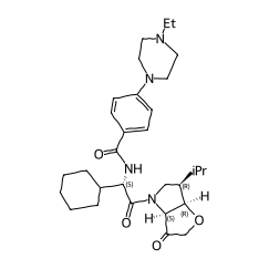 CCN1CCN(c2ccc(C(=O)N[C@H](C(=O)N3C[C@@H](C(C)C)[C@H]4OCC(=O)[C@H]43)C3CCCCC3)cc2)CC1